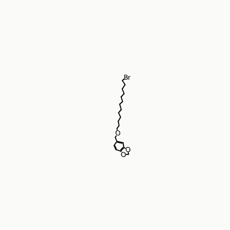 BrCCCCCCCCCCCCCOCc1ccc2c(c1)OCO2